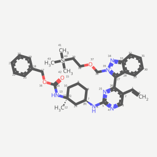 C=Cc1cnc(N[C@@H]2CCC[C@](C)(NC(=O)OCc3ccccc3)C2)nc1-c1c2ccccc2nn1COCC[Si](C)(C)C